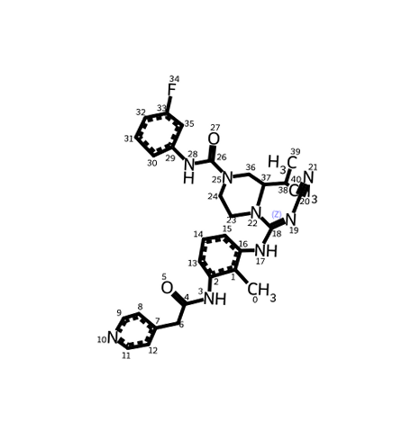 Cc1c(NC(=O)Cc2ccncc2)cccc1N/C(=N/C#N)N1CCN(C(=O)Nc2cccc(F)c2)CC1C(C)C